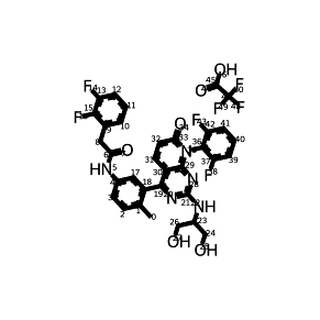 Cc1ccc(NC(=O)Cc2cccc(F)c2F)cc1-c1nc(NC(CO)CO)nc2c1ccc(=O)n2-c1c(F)cccc1F.O=C(O)C(F)(F)F